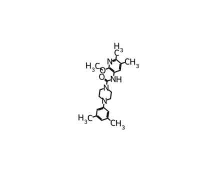 COc1nc(C)c(C)cc1NC(=O)N1CCN(c2cc(C)cc(C)c2)CC1